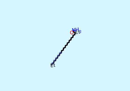 CC/C=C/C=C/C=C/C=C/C=C/CCCCCCCCCCCCCCC(CC)C(N)=O